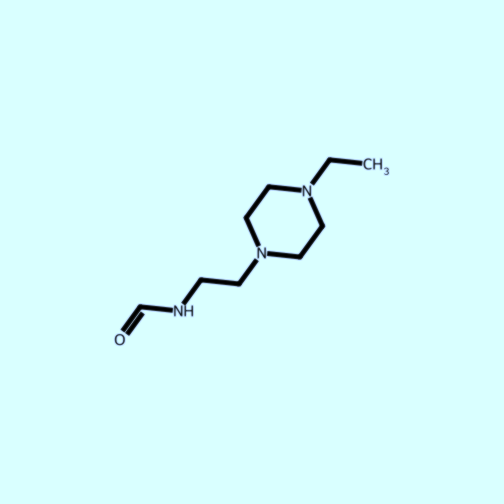 CCN1CCN(CCNC=O)CC1